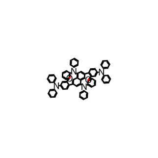 c1ccc(N(c2ccccc2)c2ccc3c(c2)oc2c3cc(N(c3ccccc3)c3ccccc3)c3c4oc5cc(N(c6ccccc6)c6ccccc6)ccc5c4cc(N(c4ccccc4)c4ccccc4)c23)cc1